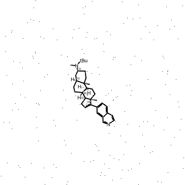 CN([C@H]1CC[C@@]2(C)[C@@H](CC[C@@H]3[C@@H]2CC[C@]2(C)C(c4ccc5ccncc5c4)=CC[C@@H]32)C1)C(C)(C)C